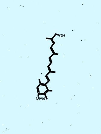 COc1cc(C)c(/C=C/C(C)=C/C=C/C(C)=C/C=C(\C)CO)c(C)c1C